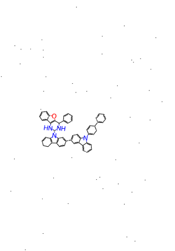 C1=Cc2c(c3ccc(-c4ccc5c(c4)c4ccccc4n5C4=CCC(c5ccccc5)C=C4)cc3n2C2Nc3c(oc4ccccc34)C(c3ccccc3)N2)CC1